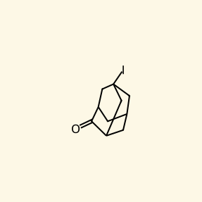 O=C1C2CC3CC1CC(I)(C3)C2